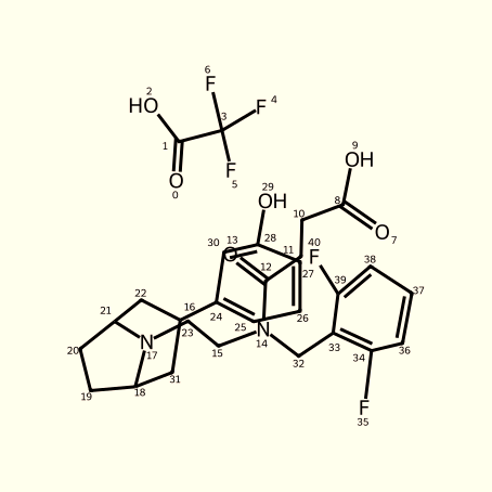 O=C(O)C(F)(F)F.O=C(O)CCC(=O)N(CCN1C2CCC1CC(c1cccc(O)c1)C2)Cc1c(F)cccc1F